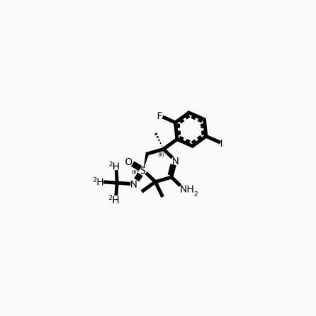 [2H]C([2H])([2H])N=[S@@]1(=O)C[C@@](C)(c2cc(I)ccc2F)N=C(N)C1(C)C